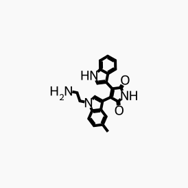 Cc1ccc2c(c1)c(C1=C(c3c[nH]c4ccccc34)C(=O)NC1=O)cn2CCN